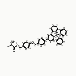 CC(N)C(=O)OCc1ccc(OCc2ccc(-c3ccc([PH](c4ccccc4)(c4ccccc4)c4ccccc4)cc3)cc2)cc1